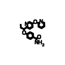 CCC(Oc1ccc(C(N)=O)cc1)c1ccc(Oc2ccccn2)cn1